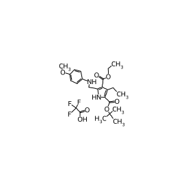 CCOC(=O)c1c(CNc2ccc(OC)cc2)[nH]c(C(=O)OC(C)(C)C)c1CC.O=C(O)C(F)(F)F